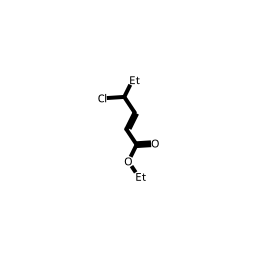 CCOC(=O)/C=C/C(Cl)CC